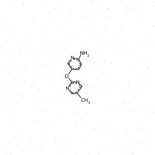 Cc1cnc(Oc2ccc(N)nc2)nc1